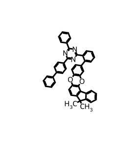 CC1(C)c2ccccc2-c2c1ccc1c2Oc2cc(-c3ccccc3-c3nc(-c4ccccc4)nc(-c4ccc(-c5ccccc5)cc4)n3)ccc2O1